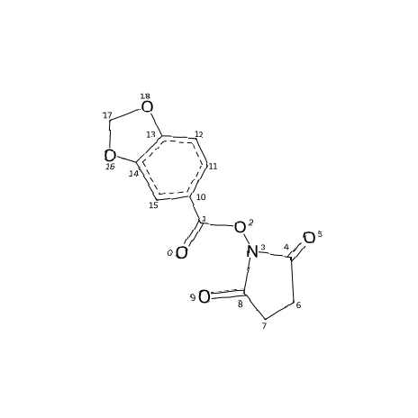 O=C(ON1C(=O)CCC1=O)c1ccc2c(c1)OCO2